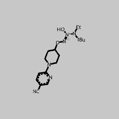 CCN(/[N+](O)=N/OC1CCN(c2ccc(C#N)cn2)CC1)C(C)(C)C